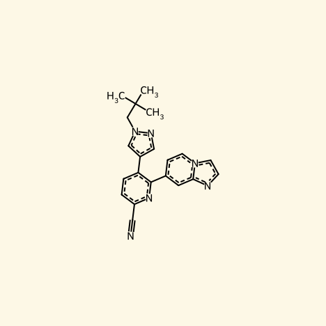 CC(C)(C)Cn1cc(-c2ccc(C#N)nc2-c2ccn3ccnc3c2)cn1